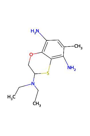 CCN(CC)C1COc2c(N)cc(C)c(N)c2S1